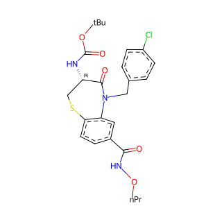 CCCONC(=O)c1ccc2c(c1)N(Cc1ccc(Cl)cc1)C(=O)[C@@H](NC(=O)OC(C)(C)C)CS2